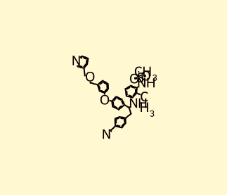 Cc1c(NC(Cc2ccc(C#N)cc2)c2ccc(Oc3cccc(COCc4cccnc4)c3)cc2)cccc1NS(C)(=O)=O